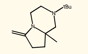 C=C1CCC2(C)CN(C(C)(C)C)CCN12